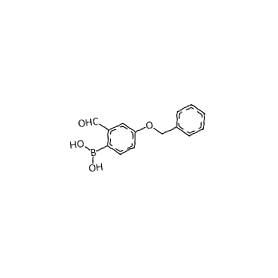 O=Cc1cc(OCc2ccccc2)ccc1B(O)O